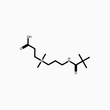 CC(C)(C)C(=O)NCCC[N+](C)(C)CCC(=O)O